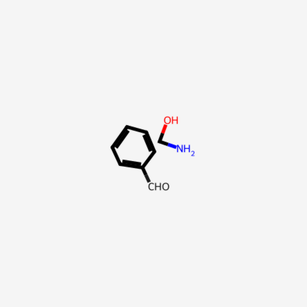 NCO.O=Cc1ccccc1